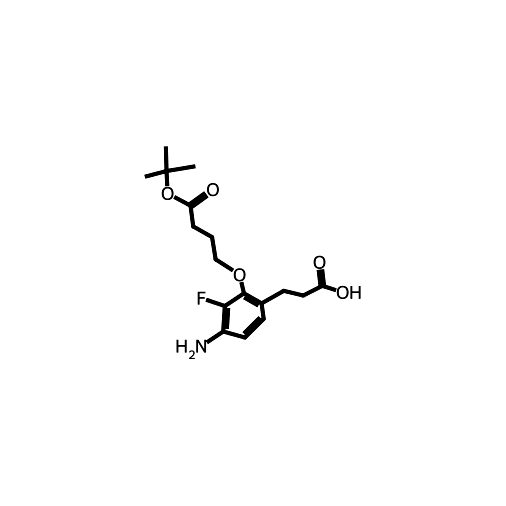 CC(C)(C)OC(=O)CCCOc1c(CCC(=O)O)ccc(N)c1F